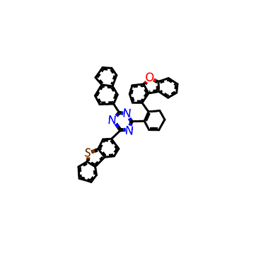 C1=CC(c2nc(-c3ccc4ccccc4c3)nc(-c3ccc4c(c3)sc3ccccc34)n2)=C(c2cccc3oc4ccccc4c23)CC1